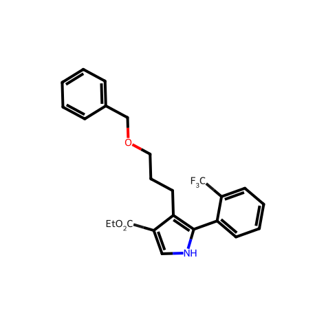 CCOC(=O)c1c[nH]c(-c2ccccc2C(F)(F)F)c1CCCOCc1ccccc1